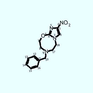 O=[N+]([O-])c1cn2c(n1)OCCN(Cc1ccccc1)CC2